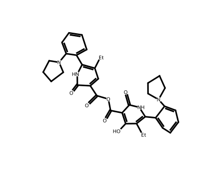 CCc1cc(C(=O)OC(=O)c2c(O)c(CC)c(-c3ccccc3N3CCCC3)[nH]c2=O)c(=O)[nH]c1-c1ccccc1N1CCCC1